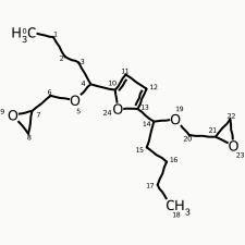 CCCCC(OCC1CO1)c1ccc(C(CCCC)OCC2CO2)o1